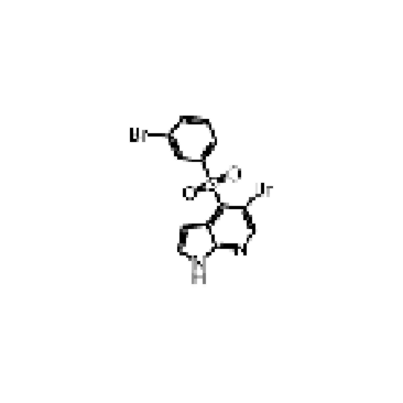 O=S(=O)(c1cccc(Br)c1)c1c(Br)cnc2[nH]ccc12